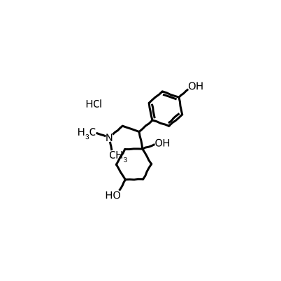 CN(C)CC(c1ccc(O)cc1)C1(O)CCC(O)CC1.Cl